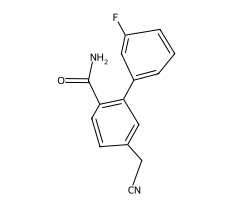 N#CCc1ccc(C(N)=O)c(-c2cccc(F)c2)c1